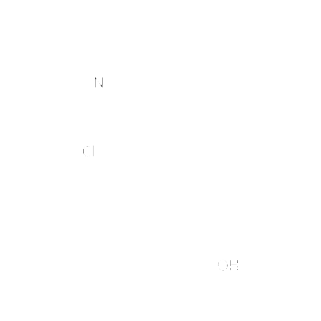 Oc1ccc(-c2cccnc2Cl)cc1